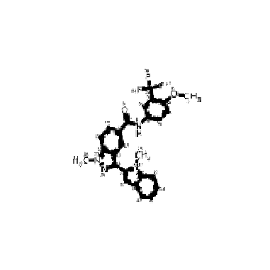 COc1ccc(NC(=O)c2ccc3c(c2)c(-c2cc4ccccc4n2C)nn3C)cc1C(F)(F)F